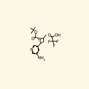 CC1CC(c2cncc(N)c2)N1C(=O)OC(C)(C)C.O=C(O)C(F)(F)F